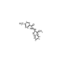 Cc1ccc(C(=O)N/N=c2\sc3ccccc3n2C)cc1